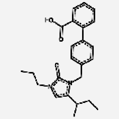 CCCn1cc(C(C)CC)n(Cc2ccc(-c3ccccc3C(=O)O)cc2)c1=O